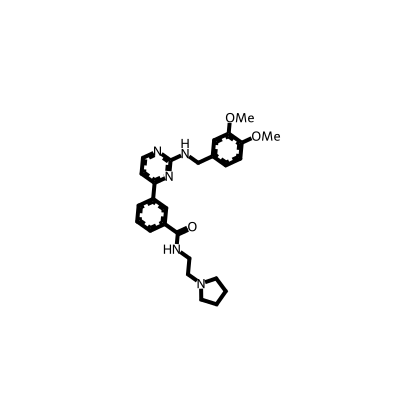 COc1ccc(CNc2nccc(-c3cccc(C(=O)NCCN4CCCC4)c3)n2)cc1OC